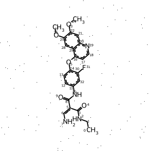 CCNC(=O)/C(=C\N)C(=O)Nc1ccc(Oc2ccnc3cc(OC)c(OC)cc23)c(F)c1